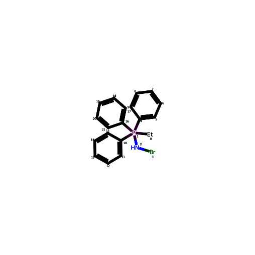 CCP(NBr)(c1ccccc1)(c1ccccc1)c1ccccc1